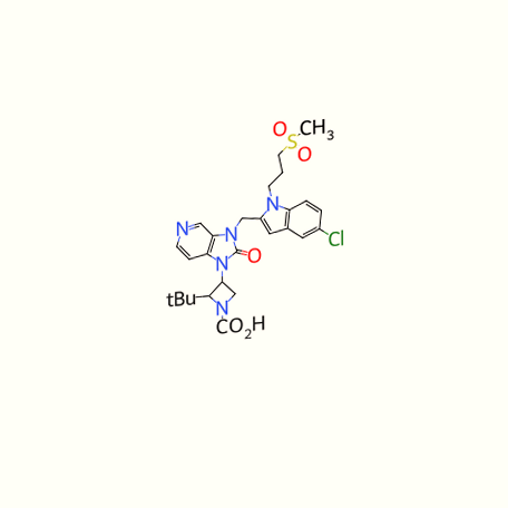 CC(C)(C)C1C(n2c(=O)n(Cc3cc4cc(Cl)ccc4n3CCCS(C)(=O)=O)c3cnccc32)CN1C(=O)O